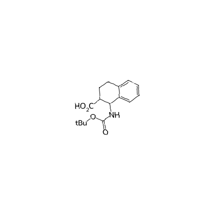 CC(C)(C)OC(=O)NC1c2ccccc2CCC1C(=O)O